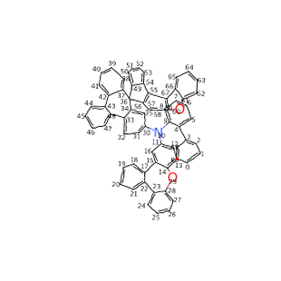 c1ccc(-c2ccccc2N(c2ccc3c(c2)-c2ccccc2-c2ccccc2O3)c2ccc3c(c2)C2(c4ccccc4-c4ccccc4-3)c3ccccc3-c3c2ccc2oc4ccccc4c32)cc1